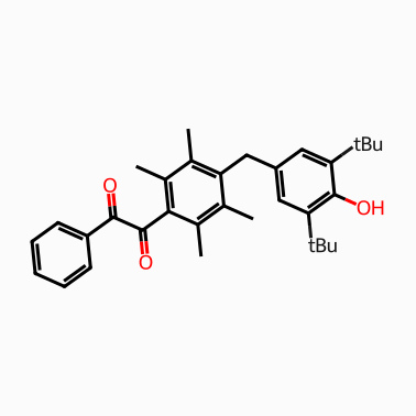 Cc1c(C)c(C(=O)C(=O)c2ccccc2)c(C)c(C)c1Cc1cc(C(C)(C)C)c(O)c(C(C)(C)C)c1